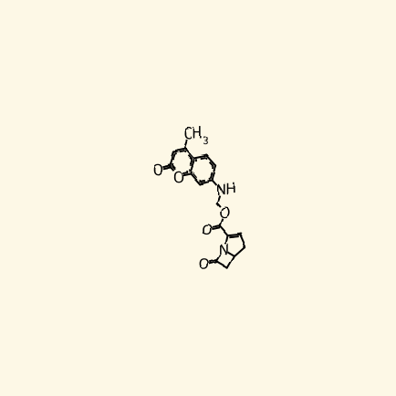 Cc1cc(=O)oc2cc(NCOC(=O)C3=CCC4CC(=O)N34)ccc12